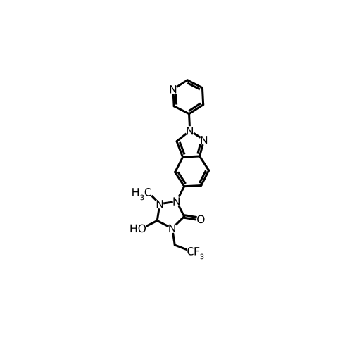 CN1C(O)N(CC(F)(F)F)C(=O)N1c1ccc2nn(-c3cccnc3)cc2c1